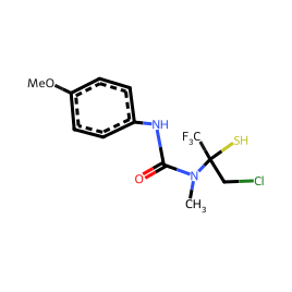 COc1ccc(NC(=O)N(C)C(S)(CCl)C(F)(F)F)cc1